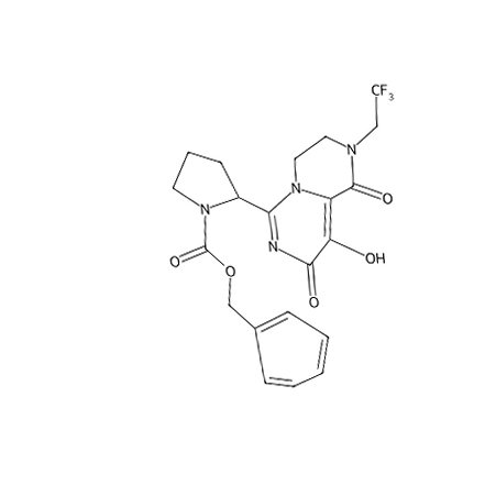 O=C1c2c(O)c(=O)nc(C3CCCN3C(=O)OCc3ccccc3)n2CCN1CC(F)(F)F